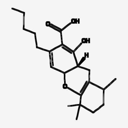 CCCCCC1=CC2OC3=C(C[C@H]2C(O)=C1C(=O)O)C(C)CCC3(C)C